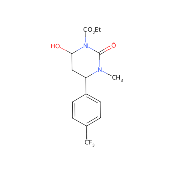 CCOC(=O)N1C(=O)N(C)C(c2ccc(C(F)(F)F)cc2)CC1O